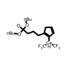 CCCCOC([O])(CCCC1=[C]([GeH]([C](F)(F)F)[C](F)(F)F)C=CC1)OCCCC